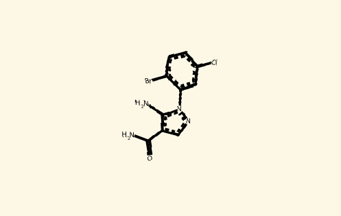 NC(=O)c1cnn(-c2cc(Cl)ccc2Br)c1N